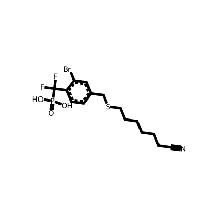 N#CCCCCCCSCc1ccc(C(F)(F)P(=O)(O)O)c(Br)c1